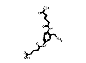 NCc1cc(NC(=O)CCCC(=O)O)ccc1NC(=O)CCCC(=O)O